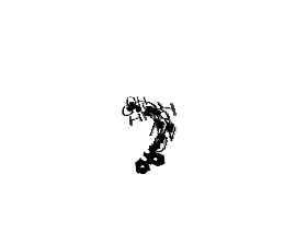 Cc1c(COc2ncnc(N[C@H](CCC(=O)O)C(=O)O)n2)cccc1-c1ccccc1